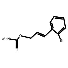 CNC(=O)OCC=Cc1ccccc1Br